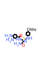 COc1ccc(NC2=NC(C(N)=O)C(NC(=O)c3ccc(N)c(N)c3)S2)cc1